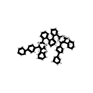 c1ccc(-c2ccc(-c3nc(-c4ccccc4-c4ccccc4-c4ccccc4-c4nc(-c5ccc(-c6ccccc6)cc5)c5c(n4)sc4ccccc45)nc4sc5ccccc5c34)cc2)cc1